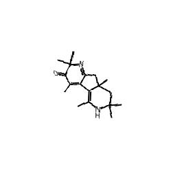 CC1=C2C3=C(C)C(=O)C(C)(C)N=C3CC2(C)CC(C)(C)N1